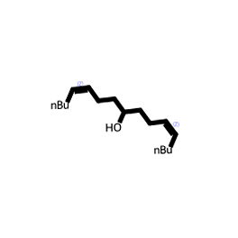 CCCC/C=C\CCC(O)CC/C=C\CCCC